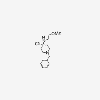 [C-]#[N+]C1(NCCOC)CCN(Cc2ccccc2)CC1